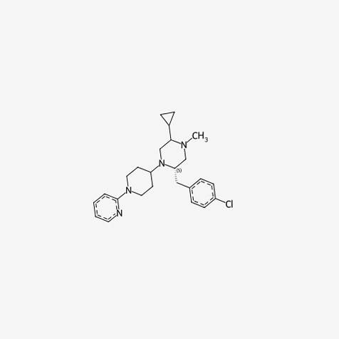 CN1C[C@H](Cc2ccc(Cl)cc2)N(C2CCN(c3ccccn3)CC2)CC1C1CC1